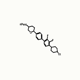 CCCCCC1CCC(c2ccc(-c3ccc(C4CCC(CC)CC4)c(F)c3F)cc2)OC1